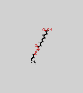 CCCCOOOC(=O)CCCCCCCC(=O)O